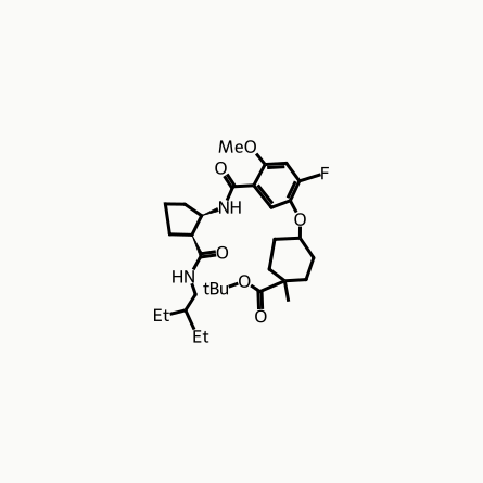 CCC(CC)CNC(=O)[C@H]1CCC[C@H]1NC(=O)c1cc(OC2CCC(C)(C(=O)OC(C)(C)C)CC2)c(F)cc1OC